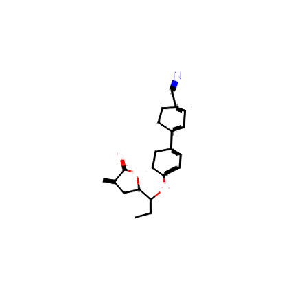 C=C1CC(C(CC)OC2=CC=C(C3=CC=C(C#N)CC3)CC2)OC1=O